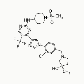 C[C@]1(O)CCN(Cc2ccc(-n3cnc(-c4nc(NC5CCN(S(C)(=O)=O)CC5)ncc4C(F)(F)F)c3)c(Cl)c2)C1